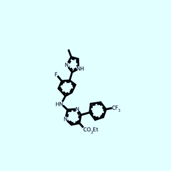 CCOC(=O)c1cnc(Nc2ccc(-c3nc(C)c[nH]3)c(F)c2)nc1-c1ccc(C(F)(F)F)cc1